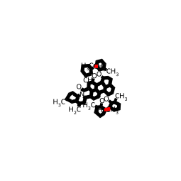 C=c1cc2c3cc(Oc4c(C)cccc4C)c4c5c(Oc6c(C)cccc6C)ccc6ccc(Oc7c(C)cccc7C)c(c7c(Oc8c(C)cccc8C)cc(c(=O)n2c2ccc(C)cc12)c3c74)c65